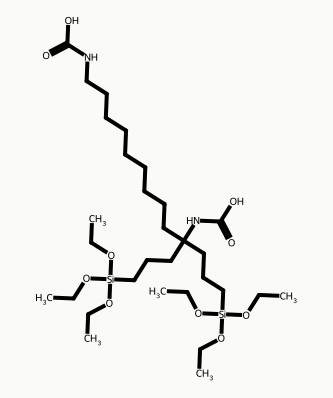 CCO[Si](CCCC(CCCCCCCCCNC(=O)O)(CCC[Si](OCC)(OCC)OCC)NC(=O)O)(OCC)OCC